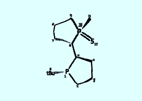 CC(C)(C)[P@@]1CCC[C@@H]1[C@@H]1CCC[P@]1(C)=S